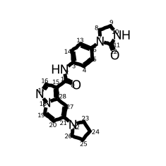 O=C(Nc1ccc(N2CCNC2=O)cc1)c1cnn2ccc(N3CCCC3)cc12